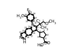 COCC(C)(C)c1c(C2CCC(C(=O)O)C2)c2cc3[nH]ncc3cc2n1-c1ccc(F)c(C)c1